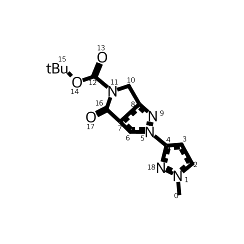 Cn1ccc(-n2cc3c(n2)CN(C(=O)OC(C)(C)C)C3=O)n1